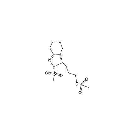 CS(=O)(=O)OCCCC1=C2CCCCC2=NC1S(C)(=O)=O